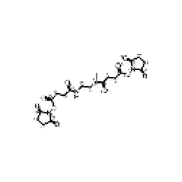 O=C(CCC(=O)ON1C(=O)CCC1=O)NCCNC(=O)CCC(=O)ON1C(=O)CCC1=O